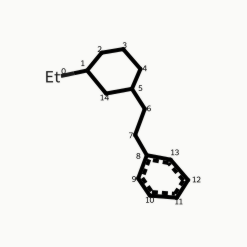 CCC1CCCC(CCc2ccccc2)C1